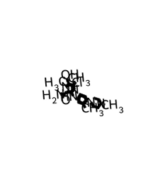 Cc1cc(Nc2nc(Cl)c(C(C)(C)O)nc2C(N)=O)ccc1N1CCN(C)CC1